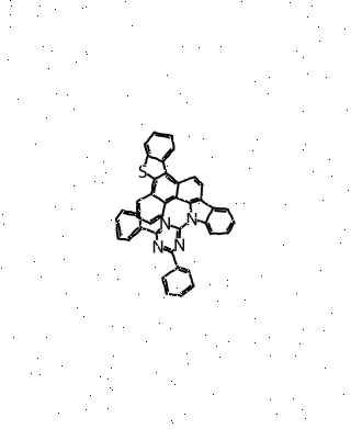 c1ccc(-c2nc(-c3ccccc3)nc(-n3c4ccccc4c4ccc5c6c7ccccc7sc6c6ccccc6c5c43)n2)cc1